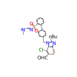 CCCCc1nc2c(n1Cc1ccc(-c3ccccc3S(=O)(=O)N=CN(C)C)cc1)C(Cl)=C(C=O)CS2